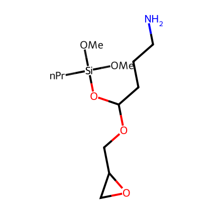 CCC[Si](OC)(OC)OC(CCCN)OCC1CO1